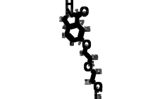 O=C1NCc2ccc(OCCOCCOI)cc21